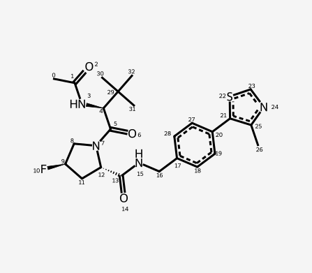 CC(=O)N[C@H](C(=O)N1C[C@H](F)C[C@H]1C(=O)NCc1ccc(-c2scnc2C)cc1)C(C)(C)C